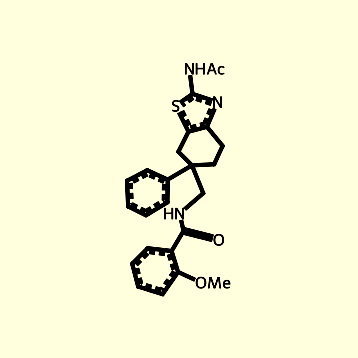 COc1ccccc1C(=O)NCC1(c2ccccc2)CCc2nc(NC(C)=O)sc2C1